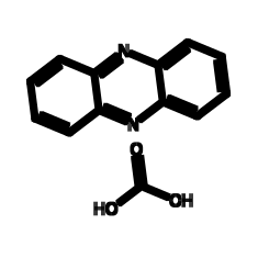 O=C(O)O.c1ccc2nc3ccccc3nc2c1